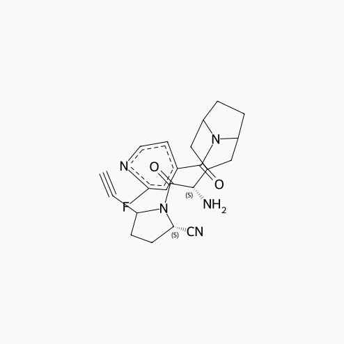 C#CC1CC[C@@H](C#N)N1C(=O)[C@@H](N)C1CC2CCC(C1)N2C(=O)c1ccnc(F)c1